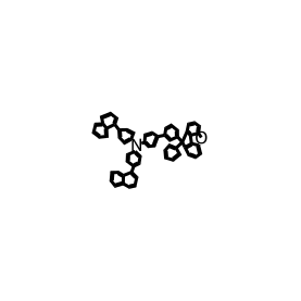 c1ccc(C2(c3cccc(-c4ccc(N(c5ccc(-c6cccc7ccccc67)cc5)c5ccc(-c6cccc7ccccc67)cc5)cc4)c3)c3cccc4oc5cccc2c5c34)cc1